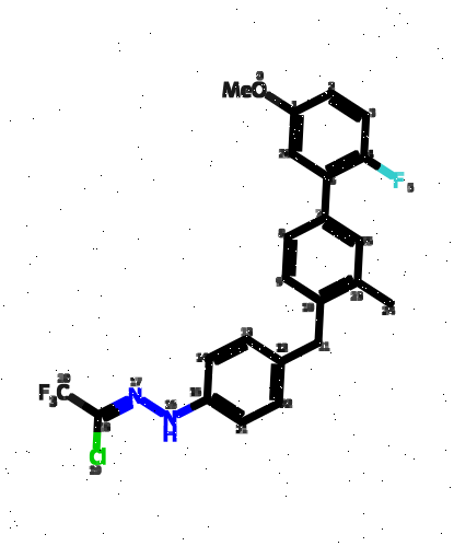 COc1ccc(F)c(-c2ccc(Cc3ccc(NN=C(Cl)C(F)(F)F)cc3)c(C)c2)c1